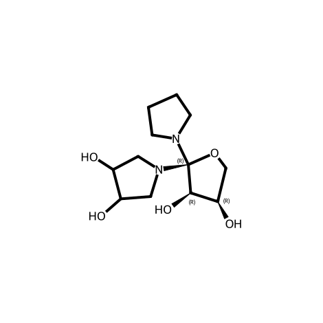 OC1CN([C@@]2(N3CCCC3)OC[C@@H](O)[C@H]2O)CC1O